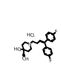 C#CC1(O)CCN(CCC=C(c2ccc(F)cc2)c2ccc(F)cc2)CC1.Cl